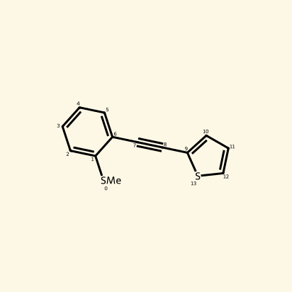 CSc1ccccc1C#Cc1cccs1